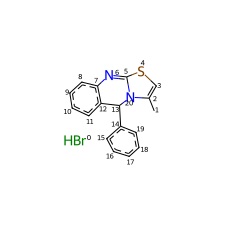 Br.CC1=CSC2=Nc3ccccc3C(c3ccccc3)N12